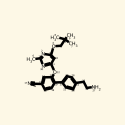 Cc1nc(OCC(C)(C)C)cc(Oc2cc(C#N)ccc2-c2ccc(CCN)cc2)n1